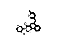 Cc1ccc(Cc2cc3c(c4ccccc24)OCN(C2COCC[C@@H]2O)C3=O)cn1